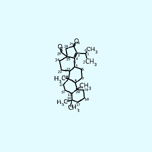 CC(C)C1=C2C3CCC4C(C)(CCC5C(C)(C)CCCC54C)C3CCC2(C=O)CC1=O